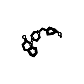 COc1ccc(CN2CCN(N3C(=O)CCc4ccccc43)CC2)cc1